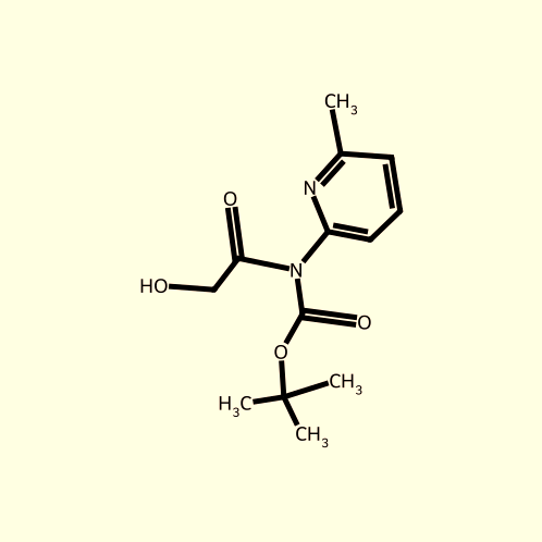 Cc1cccc(N(C(=O)CO)C(=O)OC(C)(C)C)n1